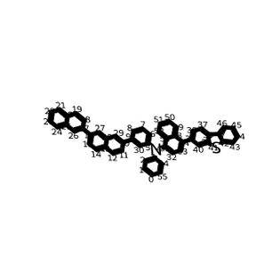 c1ccc(N(c2cccc(-c3ccc4ccc(-c5ccc6ccccc6c5)cc4c3)c2)c2ccc(-c3ccc4c(c3)sc3ccccc34)c3ccccc23)cc1